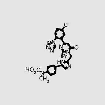 CC(C)c1nc(-c2cc(Cl)ccc2-n2cnnn2)cc(=O)n1Cc1ncc(-c2ccc(N(C)C(=O)O)cc2)[nH]1